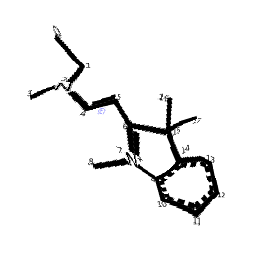 CCN(C)/C=C/C1=[N+](C)c2ccccc2C1(C)C